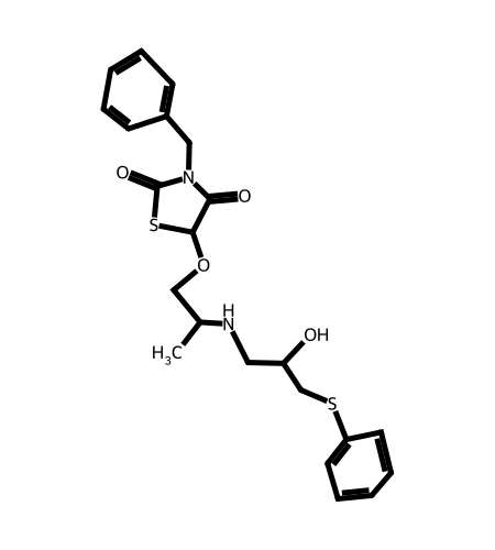 CC(COC1SC(=O)N(Cc2ccccc2)C1=O)NCC(O)CSc1ccccc1